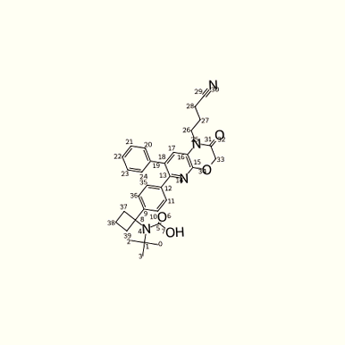 CC(C)(C)N(C(=O)O)C1(c2ccc(-c3nc4c(cc3-c3ccccc3)N(CCCC#N)C(=O)CO4)cc2)CCC1